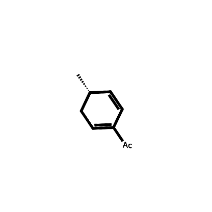 CC(=O)C1=CC[C@H](C)C=C1